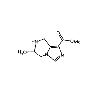 COC(=O)c1ncn2c1CN[C@@H](C)C2